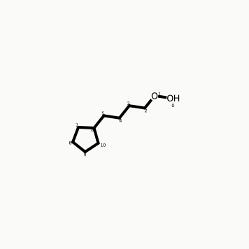 OOCCCCC1CCCC1